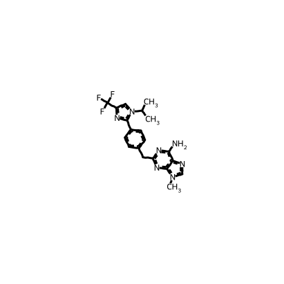 CC(C)n1cc(C(F)(F)F)nc1-c1ccc(Cc2nc(N)c3ncn(C)c3n2)cc1